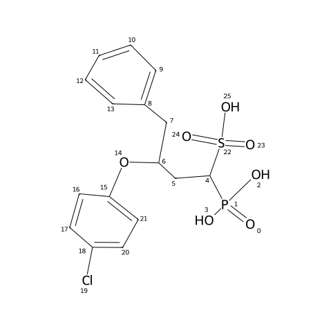 O=P(O)(O)C(CC(Cc1ccccc1)Oc1ccc(Cl)cc1)S(=O)(=O)O